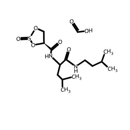 CC(C)CCNC(=O)C(CC(C)C)NC(=O)[C@@H]1COS(=O)O1.O=CO